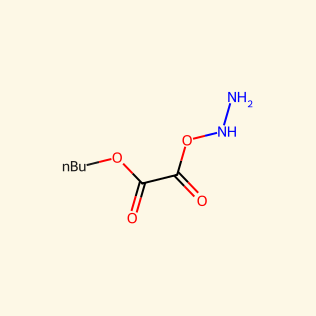 CCCCOC(=O)C(=O)ONN